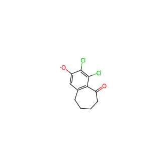 [O]c1cc2c(c(Cl)c1Cl)C(=O)CCCC2